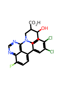 O=C(O)C1CN(c2ncnc3c(F)ccc(-c4ccc(Cl)c(Cl)c4)c23)CCC1O